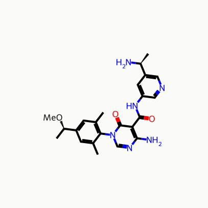 CO[C@H](C)c1cc(C)c(-n2cnc(N)c(C(=O)Nc3cncc([C@H](C)N)c3)c2=O)c(C)c1